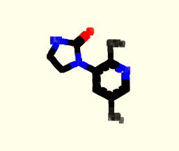 COc1ncc([N+](=O)[O-])cc1N1CCNC1=O